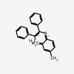 C=C1C=C(C)C=C/C1=N/C(=C(\C)c1ccccc1)c1ccccc1